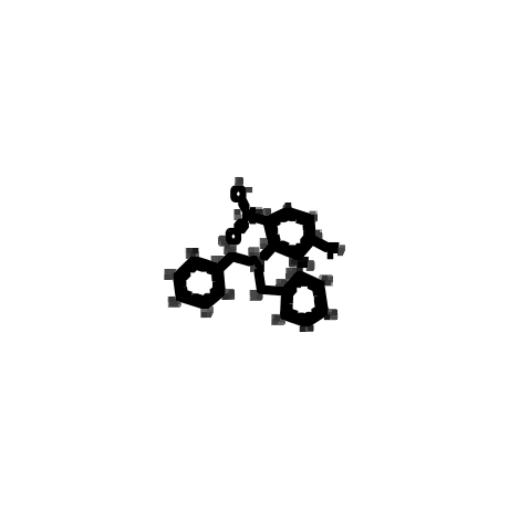 O=[N+]([O-])c1ccc(F)c(F)c1N(Cc1ccccc1)Cc1ccccc1